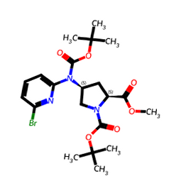 COC(=O)[C@@H]1C[C@H](N(C(=O)OC(C)(C)C)c2cccc(Br)n2)CN1C(=O)OC(C)(C)C